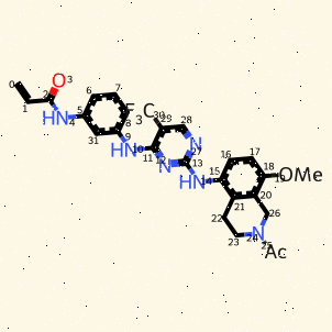 C=CC(=O)Nc1cccc(Nc2nc(Nc3ccc(OC)c4c3CCN(C(C)=O)C4)ncc2C(F)(F)F)c1